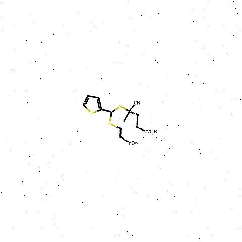 CCCCCCCCCCCCSC(SC(C)(C#N)CCC(=O)O)c1cccs1